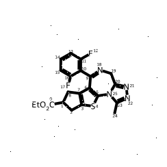 CCOC(=O)C1Cc2sc3c(c2C1)C(c1c(F)cccc1F)=NCc1nnc(C)n1-3